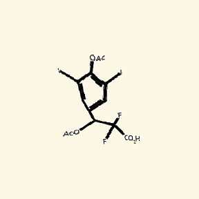 CC(=O)Oc1c(I)cc(C(OC(C)=O)C(F)(F)C(=O)O)cc1I